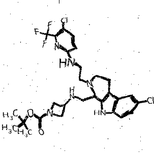 CC(C)(C)OC(=O)N1CC(NCC2c3[nH]c4ccc(Cl)cc4c3CCN2CCNc2ccc(Cl)c(C(F)(F)F)n2)C1